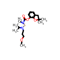 CCOCCCN(SN(C)C(=O)Oc1cccc2c1OC(C)(C)C2)C(C)C